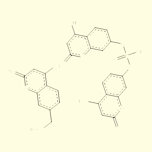 Cc1cc(=O)oc2cc(CC(=O)O)ccc12.Cc1cc(=O)oc2cc(OP(=O)(O)Oc3ccc4c(C)cc(=O)oc4c3)ccc12